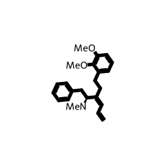 C=C/C=C(/CCc1cccc(OC)c1OC)[C@H](Cc1ccccc1)NC